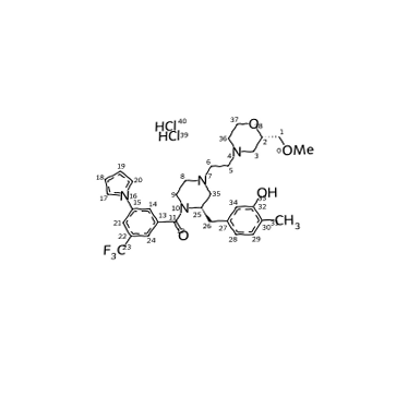 COC[C@@H]1CN(CCN2CCN(C(=O)c3cc(-n4cccc4)cc(C(F)(F)F)c3)[C@H](Cc3ccc(C)c(O)c3)C2)CCO1.Cl.Cl